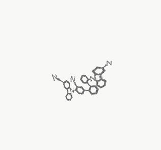 N#Cc1ccc2c(c1)c1ccccc1n2-c1ccc(-c2ccccc2-c2ccccc2-n2c3ccccc3c3cc(C#N)ccc32)cc1C#N